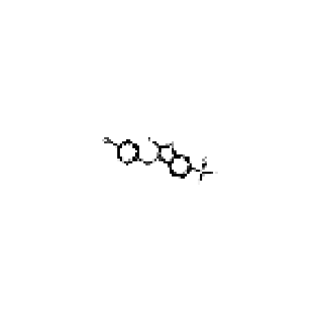 CCS(=O)(=O)c1ccc2c(c1)nc(C(F)(F)F)n2Cc1ccc(Cl)cc1